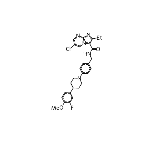 CCc1nc2ncc(Cl)cn2c1C(=O)NCc1ccc(N2CCC(c3ccc(OC)c(F)c3)CC2)cc1